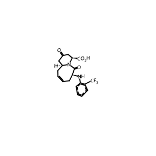 O=C1C[C@@H]2C/C=C\C[C@H](Nc3ccccc3C(F)(F)F)C(=O)N2[C@H](C(=O)O)C1